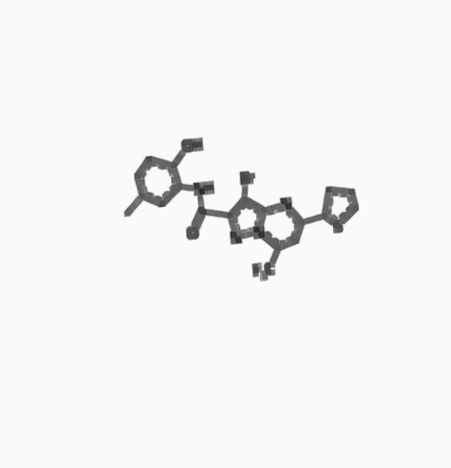 Cc1ccc(O)c(NC(=O)c2nn3c(C(F)(F)F)cc(-c4cccs4)nc3c2Br)c1